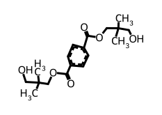 CC(C)(CO)COC(=O)c1ccc(C(=O)OCC(C)(C)CO)cc1